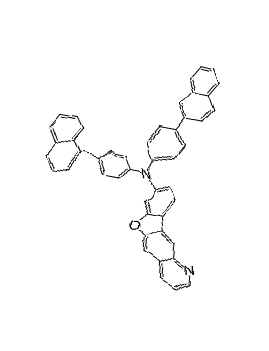 c1ccc2cc(-c3ccc(N(c4ccc(-c5cccc6ccccc56)cc4)c4ccc5c(c4)oc4cc6cccnc6cc45)cc3)ccc2c1